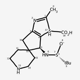 CC1=NC2=C([C@@H](N[S@+]([O-])C(C)(C)C)C3(CCNCC3)C2)[SH]1C(=O)O